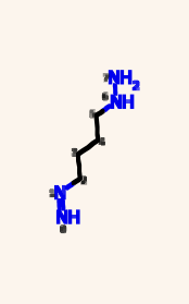 N=NCCCCNN